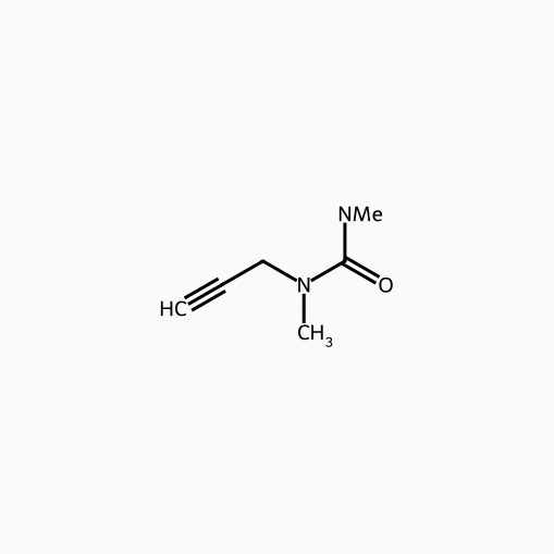 C#CCN(C)C(=O)NC